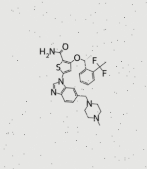 C[C@@H](Oc1cc(-n2cnc3ccc(CN4CCN(C)CC4)cc32)sc1C(N)=O)c1ccccc1C(C)(F)F